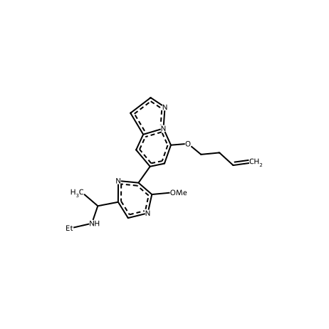 C=CCCOc1cc(-c2nc(C(C)NCC)cnc2OC)cc2ccnn12